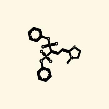 CN1CCSC1=CC=C(S(=O)(=O)Oc1ccccc1)S(=O)(=O)Oc1ccccc1